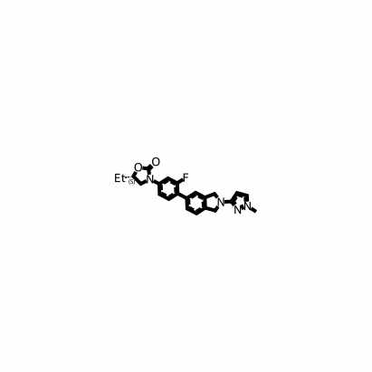 CC[C@H]1CN(c2ccc(-c3ccc4c(c3)CN(c3ccn(C)n3)C4)c(F)c2)C(=O)O1